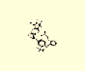 CC(C)CSc1ccccc1Oc1ccc(-c2noc(CN3C(=O)NC(C)(C)C3=O)n2)cc1C(F)(F)F